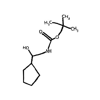 CC(C)(C)OC(=O)NC(O)C1CCCC1